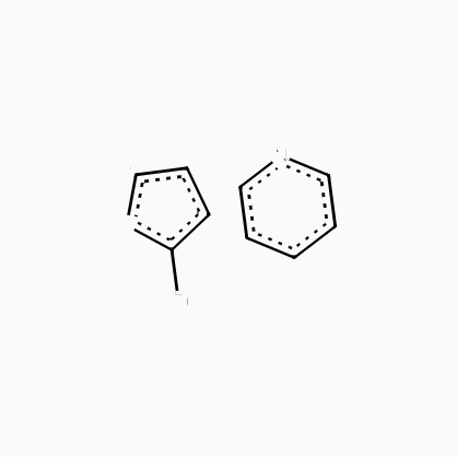 CCc1cccs1.c1ccncc1